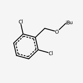 CCC(C)OCc1c(Cl)cccc1Cl